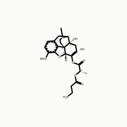 COc1ccc2c3c1O[C@H]1C(OC(=O)[C@H](C)OC(=O)CCN)=CC[C@]4(O)C(C2)N(C)CC[C@]314.Cl